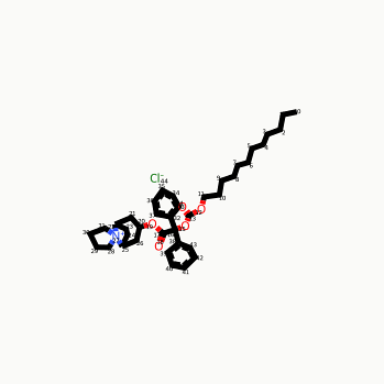 CCCCCCCCCCCCOC(=O)OC(C(=O)OC1CC2CCC(C1)[N+]21CCCC1)(c1ccccc1)c1ccccc1.[Cl-]